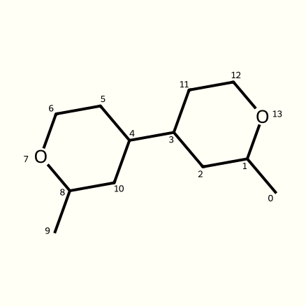 CC1CC(C2CCOC(C)C2)CCO1